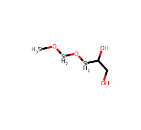 OCC(O)[SiH2]O[SiH2]O[SiH3]